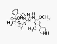 COc1cc(C2CCNCC2)c(C)cc1Nc1nc(N)n2nc(-c3ccccc3S(=O)(=O)C(C)C)cc2n1